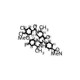 CNC(=O)c1ccc(-n2c(NC(C)c3ccc(OC)c(F)c3)nc3c(c2=O)C[C@@H](C)N(C(=O)c2ccc(Cl)c(Cl)c2)C3)cc1